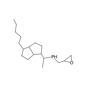 CCCCCC1CCC2C1CCC2C(C)PCC1CO1